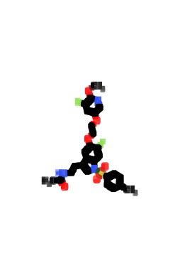 COc1ncc(OCCOc2cc3c(CCNC(C)=O)cn(S(=O)(=O)c4ccc(C)cc4)c3cc2F)cc1F